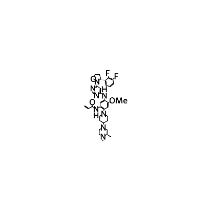 C=CC(=O)Nc1cc(Nc2cc(N3OCC[C@@H]3c3cccc(F)c3F)ncn2)c(OC)cc1N1CCC(N2CCN(C)[C@H](C)C2)CC1